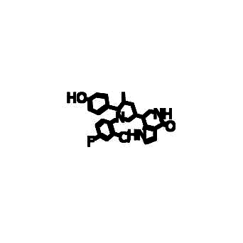 CC1CC(C2CNC(=O)c3cc[nH]c32)CN(c2ccc(F)cc2Cl)C1c1ccc(O)cc1